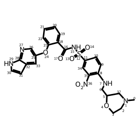 CN1CCOC(CNc2ccc(S(=O)(=O)NC(=O)c3ccccc3Oc3cnc4[nH]ccc4c3)cc2[N+](=O)[O-])C1